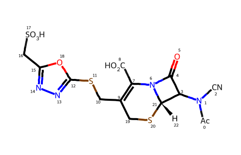 CC(=O)N(C#N)C1C(=O)N2C(C(=O)O)=C(CSc3nnc(CS(=O)(=O)O)o3)CS[C@@H]12